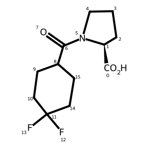 O=C(O)[C@@H]1CCCN1C(=O)C1CCC(F)(F)CC1